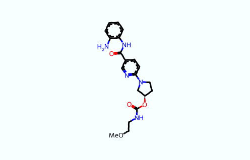 COCCNC(=O)O[C@@H]1CCN(c2ccc(C(=O)Nc3ccccc3N)cn2)C1